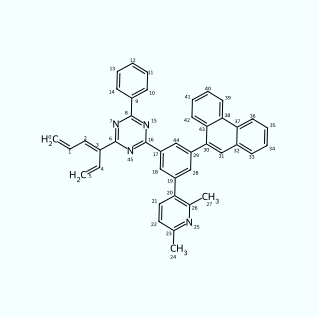 C=C/C=C(\C=C)c1nc(-c2ccccc2)nc(-c2cc(-c3ccc(C)nc3C)cc(-c3cc4ccccc4c4ccccc34)c2)n1